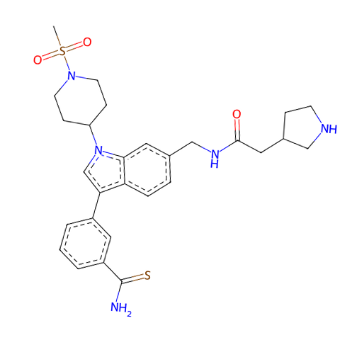 CS(=O)(=O)N1CCC(n2cc(-c3cccc(C(N)=S)c3)c3ccc(CNC(=O)CC4CCNC4)cc32)CC1